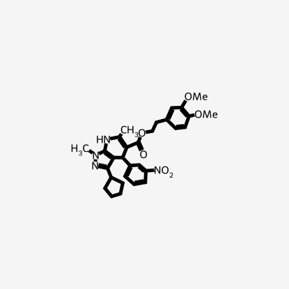 COc1ccc(CCOC(=O)C2=C(C)Nc3c(c(C4CCCC4)nn3C)C2c2cccc([N+](=O)[O-])c2)cc1OC